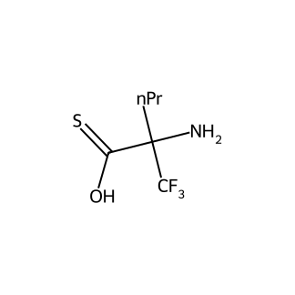 CCCC(N)(C(O)=S)C(F)(F)F